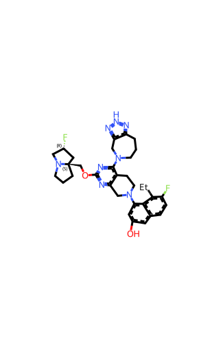 CCc1c(F)ccc2cc(O)cc(N3CCc4c(nc(OC[C@@]56CCCN5C[C@H](F)C6)nc4N4CCCc5n[nH]nc5C4)C3)c12